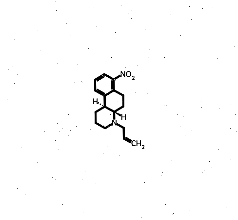 C=CCN1CCC[C@H]2c3cccc([N+](=O)[O-])c3CC[C@@H]21